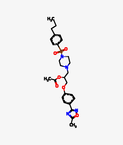 CCCc1ccc(S(=O)(=O)N2CCN(CC(COc3ccc(-c4noc(C)n4)cc3)OC(C)=O)CC2)cc1